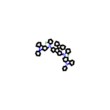 Fc1ccccc1N(c1ccc2c(c1)C(c1ccccc1)(c1ccccc1)c1cc(N(c3ccc4c(c3)c3ccccc3n4-c3ccccc3)c3ccccc3F)ccc1-2)c1ccc2c(c1)c1ccccc1n2-c1ccccc1